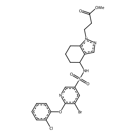 COC(=O)CCn1ncc2c1CCCC2NS(=O)(=O)c1cnc(Oc2ccccc2Cl)c(Br)c1